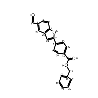 O=Cc1ccc2oc(-c3ccc(C(=O)OCc4ccccc4)cc3)cc2c1